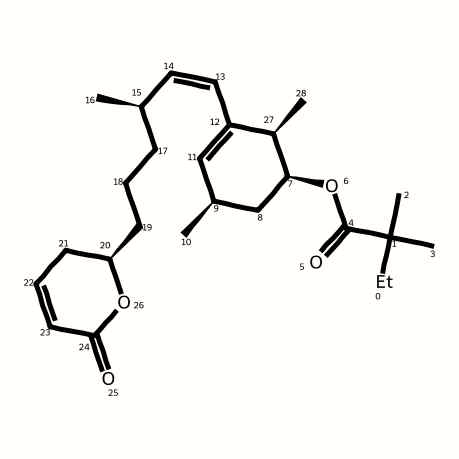 CCC(C)(C)C(=O)O[C@H]1C[C@@H](C)C=C(/C=C\[C@H](C)CCC[C@@H]2CC=CC(=O)O2)[C@H]1C